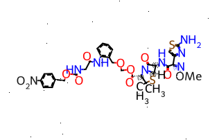 CO/N=C(\C(=O)N[C@H]1C(=O)N2[C@@H]1SC(C)(C)[C@@H]2C(=O)OCOCc1ccccc1NC(=O)CNC(=O)OCc1ccc([N+](=O)[O-])cc1)c1csc(N)n1